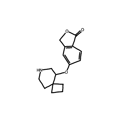 O=C1OCc2cc(OC3CNCCC34CCC4)ccc21